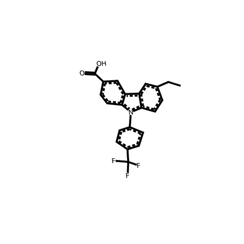 CCc1ccc2c(c1)c1cc(C(=O)O)ccc1n2-c1ccc(C(F)(F)F)cc1